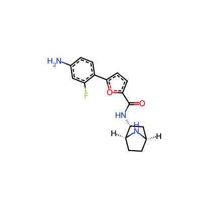 Nc1ccc(-c2ccc(C(=O)N[C@@H]3C[C@H]4CC[C@@H]3N4)o2)c(F)c1